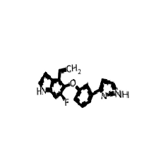 C=Cc1c(Oc2cccc(-c3cc[nH]n3)c2)c(F)cc2[nH]ccc12